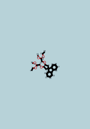 CCOC(COCCC1(CCOCC(OC)OCC)c2ccccc2-c2ccccc21)OC